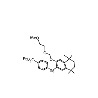 CCOC(=O)c1ccc([Se]c2cc3c(cc2OCOCCOC)C(C)(C)CCC3(C)C)cc1